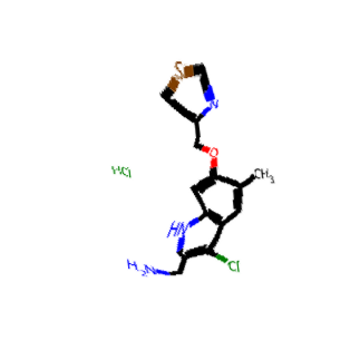 Cc1cc2c(Cl)c(CN)[nH]c2cc1OCc1cscn1.Cl